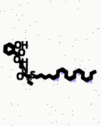 CC/C=C\C/C=C\C/C=C\C/C=C\C/C=C\CCCCS[C@H](CC)C(=O)NCCOC(=O)c1ccccc1O